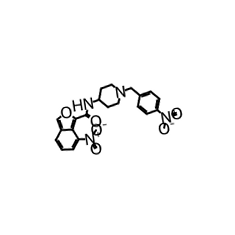 O=C(NC1CCN(Cc2ccc([N+](=O)[O-])cc2)CC1)c1occ2cccc([N+](=O)[O-])c12